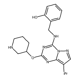 CC(C)c1cnn2c(NCc3ccccc3O)nc(OC3CCCNC3)nc12